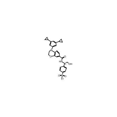 CCS(=O)(=O)c1ccc([C@H](CO)NC(=O)c2ccc3c(c2)OCCN3c2cc(C3CC3)cc(C3CC3)c2)cc1